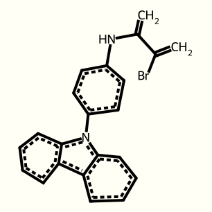 C=C(Br)C(=C)Nc1ccc(-n2c3ccccc3c3ccccc32)cc1